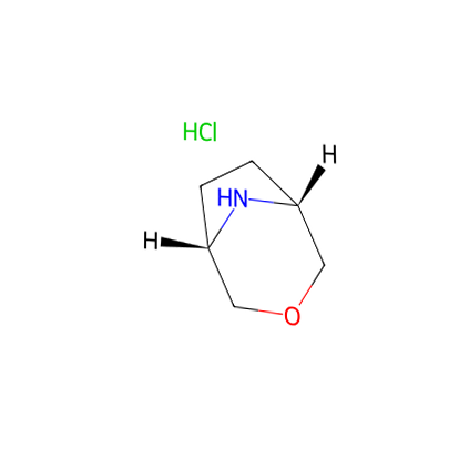 C1C[C@H]2COC[C@@H]1N2.Cl